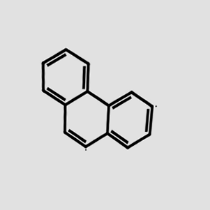 [c]1ccc2[c]cc3ccccc3c2c1